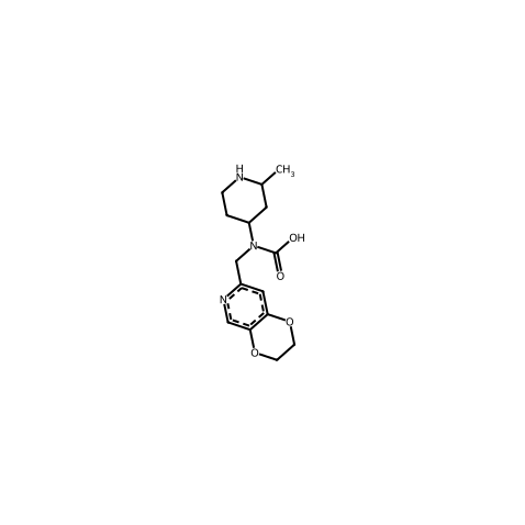 CC1CC(N(Cc2cc3c(cn2)OCCO3)C(=O)O)CCN1